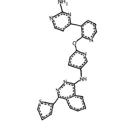 Nc1nccc(-c2cccnc2Oc2ccc(Nc3nnc(-c4cccs4)c4ccccc34)cn2)n1